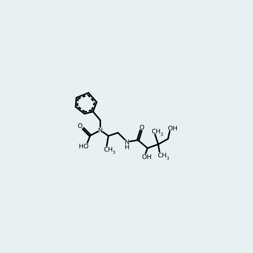 CC(CNC(=O)C(O)C(C)(C)CO)N(Cc1ccccc1)C(=O)O